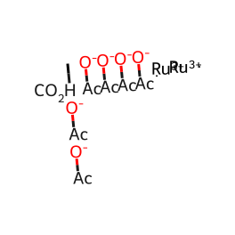 CC(=O)O.CC(=O)[O-].CC(=O)[O-].CC(=O)[O-].CC(=O)[O-].CC(=O)[O-].CC(=O)[O-].[Ru+3].[Ru+3]